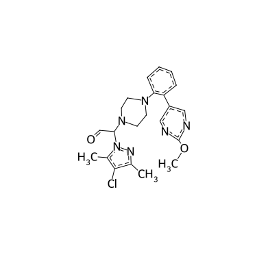 COc1ncc(-c2ccccc2N2CCN(C(C=O)n3nc(C)c(Cl)c3C)CC2)cn1